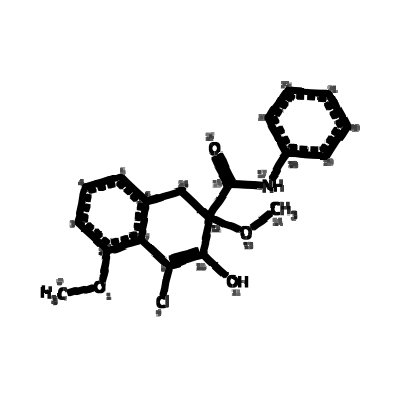 COc1cccc2c1C(Cl)=C(O)C(OC)(C(=O)Nc1ccccc1)C2